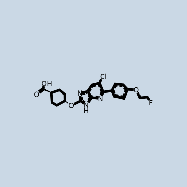 O=C(O)[C@H]1CC[C@H](Oc2nc3cc(Cl)c(-c4ccc(OCCF)cc4)nc3[nH]2)CC1